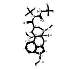 CON1CC(C(=O)N(C(=O)NC(C)(C)C)C(C)(C)C)C[C@@]2(OC)c3cccc4c3c(cn4OC)C[C@@H]12